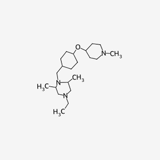 CCN1CC(C)N(CC2CCC(OC3CCN(C)CC3)CC2)C(C)C1